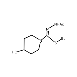 CCS/C(=N\NC(C)=O)N1CCC(O)CC1